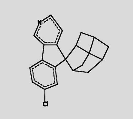 Clc1ccc2c(c1)C1(c3ccncc3-2)C2CC3CC4CC1C34C2